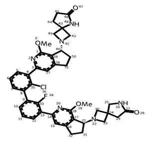 COc1nc(-c2cccc(-c3cccc(-c4cc5c(c(OC)n4)[C@@H](N4CC6(CNC(=O)C6)C4)CC5)c3F)c2Cl)cc2c1[C@H](N1CC3(CCC(=O)N3)C1)CC2